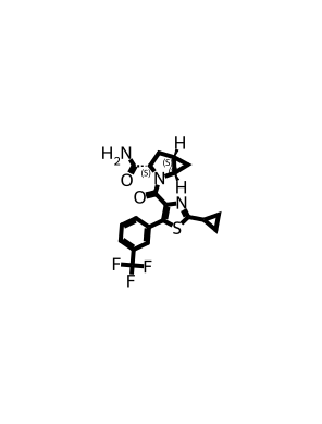 NC(=O)[C@@H]1C[C@@H]2C[C@@H]2N1C(=O)c1nc(C2CC2)sc1-c1cccc(C(F)(F)F)c1